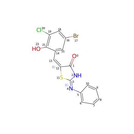 O=C1N/C(=N\c2ccccc2)S/C1=C/c1cc(Br)cc(Cl)c1O